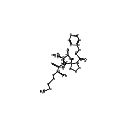 C[C@H](NC(=O)[C@@H](N)CCCCN)C(=O)NC1(C(=O)O)CCCC1C(=O)OCc1ccccc1.Cl